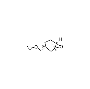 COOC[C@@H]1CC[C@H]2O[C@H]2C1